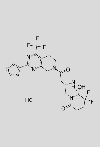 Cl.N[C@@H](CC(=O)N1CCc2c(nc(-c3ccsc3)nc2C(F)(F)F)C1)CN1C(=O)CCC(F)(F)C1O